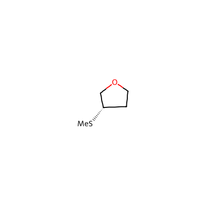 CS[C@H]1CCOC1